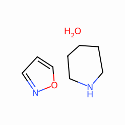 C1CCNCC1.O.c1cnoc1